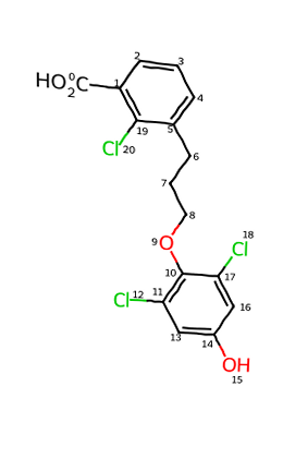 O=C(O)c1cccc(CCCOc2c(Cl)cc(O)cc2Cl)c1Cl